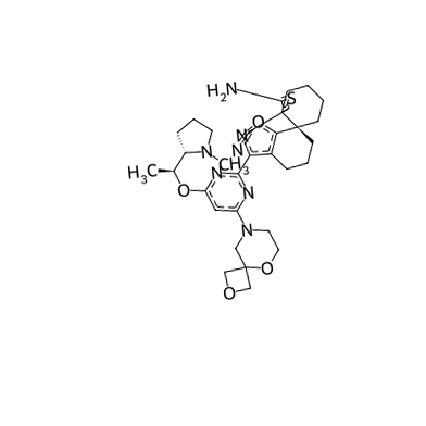 C[C@H](Oc1cc(N2CCOC3(COC3)C2)nc(-c2noc3c2CCC[C@@]32CCCc3sc(N)c(C#N)c32)n1)[C@@H]1CCCN1C